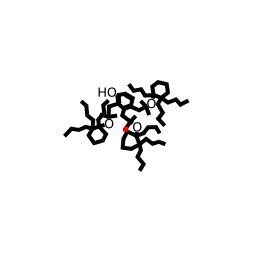 CCCCC1(CCCC)CCCCC1(CCCC)OC(C)(C)Cc1ccc(O)c(CC(C)(C)OC2(CCCC)CCCCC2(CCCC)CCCC)c1CC(C)(C)OC1(CCCC)CCCCC1(CCCC)CCCC